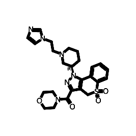 O=C(c1nn([C@@H]2CCCN(CCn3ccnc3)C2)c2c1CS(=O)(=O)c1ccccc1-2)N1CCOCC1